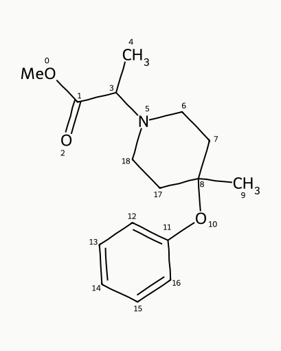 COC(=O)C(C)N1CCC(C)(Oc2ccccc2)CC1